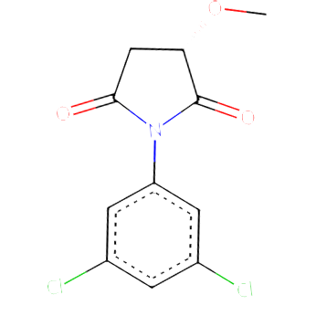 CO[C@H]1CC(=O)N(c2cc(Cl)cc(Cl)c2)C1=O